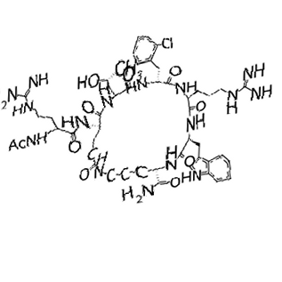 CC(=O)N[C@@H](CCCNC(=N)N)C(=O)N[C@H]1CCC(=O)NCCC[C@@H](C(N)=O)NC(=O)[C@H](Cc2c[nH]c3ccccc23)NC(=O)[C@H](CCCNC(=N)N)NC(=O)[C@@H](Cc2ccccc2Cl)NC(=O)[C@H]([C@@H](C)O)NC1=O